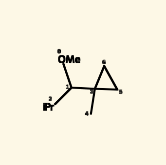 COC(C(C)C)C1(C)CC1